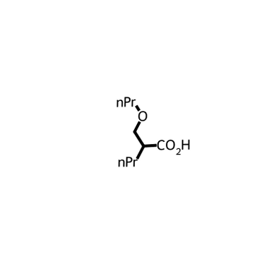 CCCOCC(CCC)C(=O)O